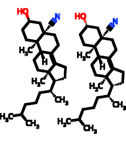 CC(C)CCC[C@@H](C)[C@H]1CCC2=C3CC[C@]4(C#N)C[C@@H](O)CC[C@]4(C)[C@H]3CC[C@@]21C.CC(C)CCC[C@@H](C)[C@H]1CCC2=C3CC[C@]4(C#N)C[C@H](O)CC[C@]4(C)[C@H]3CC[C@@]21C